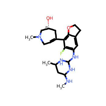 CNC1CC(C)NC(Nc2cc3c(c(C4=CCN(C)C[C@H](O)C4)c2F)OCC3)N1